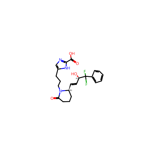 O=C(O)c1ncc(CCCN2C(=O)CCC[C@@H]2C=C[C@@H](O)C(F)(F)c2ccccc2)[nH]1